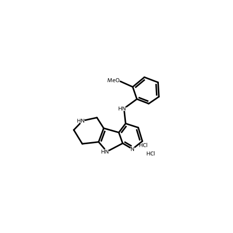 COc1ccccc1Nc1ccnc2[nH]c3c(c12)CNCC3.Cl.Cl